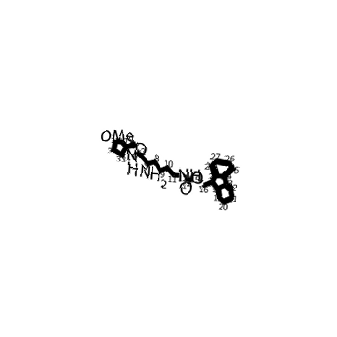 COC(=O)C1(NC[C@@H](N)CCCCNC(=O)OCC2c3ccccc3-c3ccccc32)CCCC1